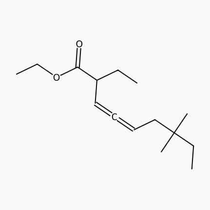 CCOC(=O)C(C=C=CCC(C)(C)CC)CC